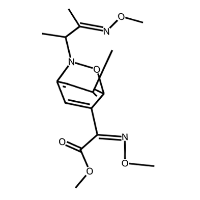 CON=C(C(=O)OC)c1cc2cc(C)c1ON2C(C)C(C)=NOC